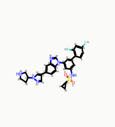 O=S(=O)(Nc1cc(-c2ccc(F)cc2F)cc(-n2cnc3cc(-c4cnn(C5CCNC5)c4)ccc32)c1)C1CC1